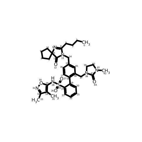 CCCCC1=NC2(CCCC2)C(=O)N1Cc1ccc(-c2ccccc2S(=O)(=O)Nc2onc(C)c2C)c(CN2CCN(C)C2=O)c1